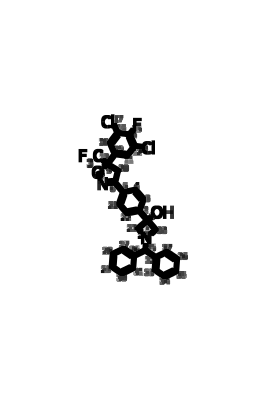 OC1(c2ccc(C3=NOC(c4cc(Cl)c(F)c(Cl)c4)(C(F)(F)F)C3)cc2)CN(C(c2ccccc2)c2ccccc2)C1